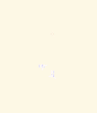 C=C(OC)c1ccc(CNc2ccccc2NI)cc1